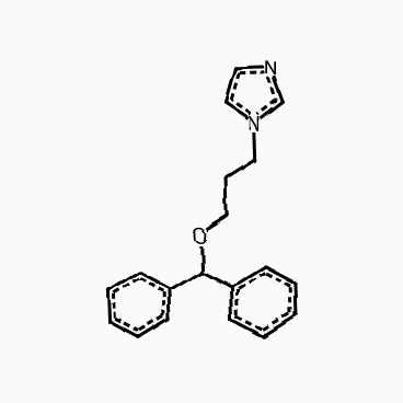 c1ccc(C(OCCCn2ccnc2)c2ccccc2)cc1